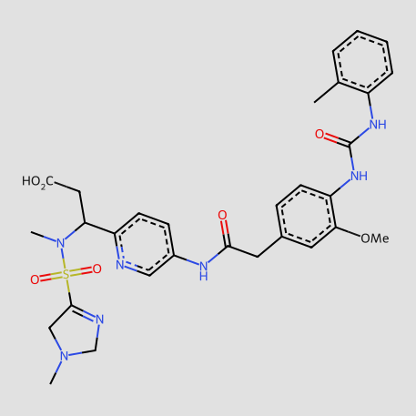 COc1cc(CC(=O)Nc2ccc(C(CC(=O)O)N(C)S(=O)(=O)C3=NCN(C)C3)nc2)ccc1NC(=O)Nc1ccccc1C